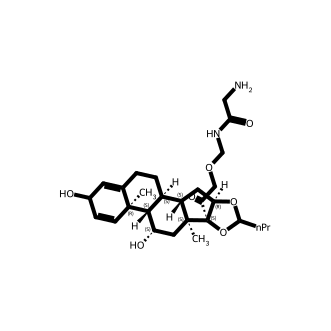 CCCC1O[C@@H]2C[C@H]3[C@@H]4CCC5=CC(O)C=C[C@]5(C)[C@H]4[C@@H](O)C[C@]3(C)[C@]2(C(=O)COCNC(=O)CN)O1